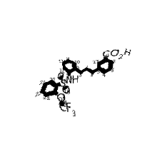 O=C(O)c1cccc(CCCc2ccccc2NS(=O)(=O)c2ccccc2OC(F)(F)F)c1